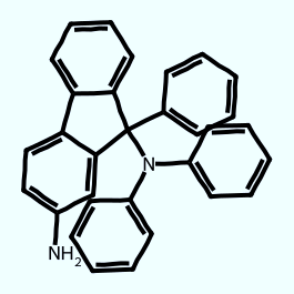 Nc1ccc2c(c1)C(c1ccccc1)(N(c1ccccc1)c1ccccc1)c1ccccc1-2